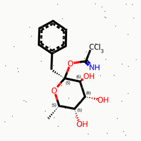 C[C@@H]1O[C@@](Cc2ccccc2)(OC(=N)C(Cl)(Cl)Cl)[C@@H](O)[C@H](O)[C@@H]1O